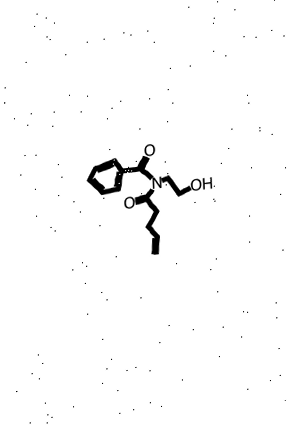 C=CCCC(=O)N(CCO)C(=O)c1ccccc1